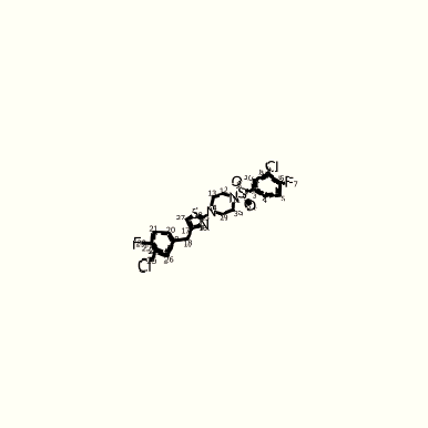 O=S(=O)(c1ccc(F)c(Cl)c1)N1CCN(c2nc(Cc3ccc(F)c(Cl)c3)cs2)CC1